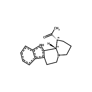 CC(=O)[C@@H]1CCCN2CCc3c([nH]c4ccccc34)[C@H]12